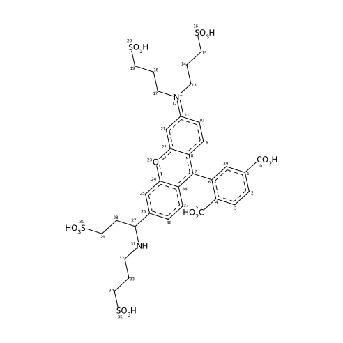 O=C(O)c1ccc(C(=O)O)c(-c2c3ccc(=[N+](CCCS(=O)(=O)O)CCCS(=O)(=O)O)cc-3oc3cc(C(CCS(=O)(=O)O)NCCCS(=O)(=O)O)ccc23)c1